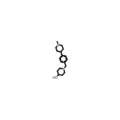 CN1CCC(c2ccc(CN3CCC(O)CC3)cc2)CC1